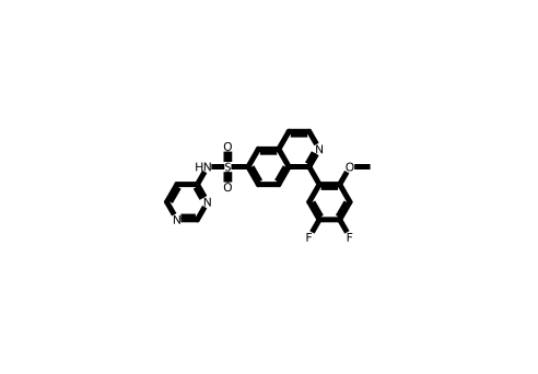 COc1cc(F)c(F)cc1-c1nccc2cc(S(=O)(=O)Nc3ccncn3)ccc12